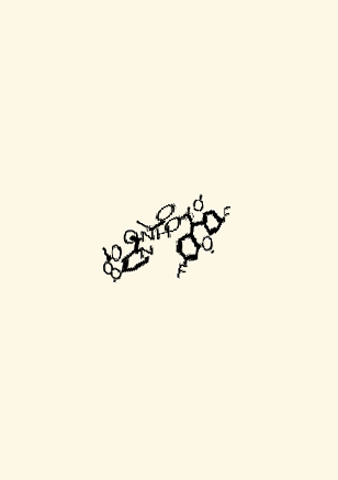 COc1cc(F)ccc1C(c1ccc(F)cc1OC)[C@H](C)OC(=O)[C@H](C)NC(=O)c1nccc(OC)c1OC(C)=O